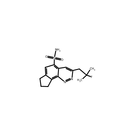 CC(C)(F)Cc1cc2c(S(N)(=O)=O)cc3c(c2nn1)CCC3